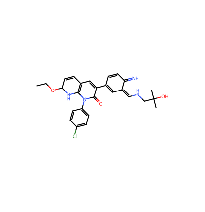 CCOC1C=Cc2cc(C3=C/C(=C/NCC(C)(C)O)C(=N)C=C3)c(=O)n(-c3ccc(Cl)cc3)c2N1